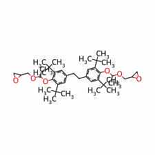 CC(OCC1CO1)Oc1c(C(C)(C)C)cc(CCc2cc(C(C)(C)C)c(OC(C)OCC3CO3)c(C(C)(C)C)c2)cc1C(C)(C)C